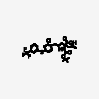 C=CCC(CCCc1ccc(Sc2cccc(C(F)(F)F)c2)cc1Cl)(NC(=O)OC(C)(C)C)C(=O)O